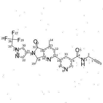 C#CCNC(=O)c1cncc(-c2cc(C)c3c(n2)C(C)N(c2cnn(CC(F)(F)F)c2)C3=O)c1